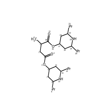 CC(CC(=O)OC1CC(C(C)C)NC(C(C)C)C1)C(=O)OC1CC(C(C)C)NC(C(C)C)C1